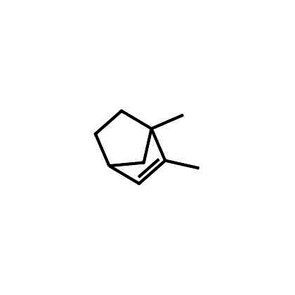 CC1=CC2CCC1(C)C2